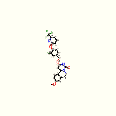 COc1ccc2c(c1)CCn1c-2cc(OCc2ccc(Oc3cccc(C(F)(F)F)n3)c(F)c2)nc1=O